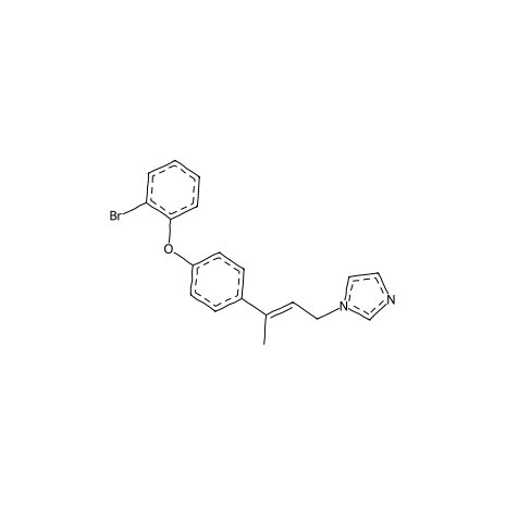 CC(=CCn1ccnc1)c1ccc(Oc2ccccc2Br)cc1